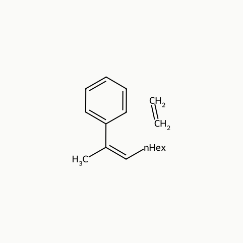 C=C.CCCCCC/C=C(/C)c1ccccc1